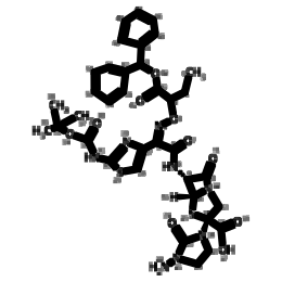 CCC(O/N=C(\C(=O)N[C@@H]1C(=O)N2C[C@@](C(=O)O)(N3CCN(N)C3=O)S[C@H]12)c1csc(NC(=O)OC(C)(C)C)n1)C(=O)OC(c1ccccc1)c1ccccc1